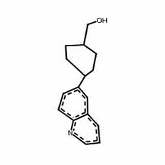 OCC1CCC(c2ccc3ncccc3c2)CC1